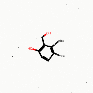 CCCCc1ccc(O)c(CO)c1CCCC